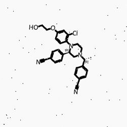 C[C@H](c1ccc(C#N)cc1)N1CCN(c2ccc(OCCO)cc2Cl)[C@H](c2ccc(C#N)cc2)C1